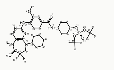 COc1cc(C(=O)N[C@H]2CC[C@H](OP(=O)(OC(C)(C)C)OC(C)(C)C)CC2)ccc1Nc1ncc2c(n1)N(C1CCCCC1)CC(F)(F)C(=O)N2C